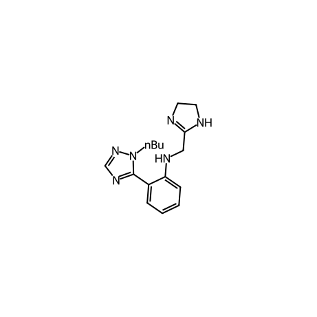 CCCCn1ncnc1-c1ccccc1NCC1=NCCN1